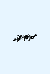 COc1cc(Nc2ncc(Cl)c(-c3ccn(C(C)C)n3)n2)ccc1C(=O)Nc1ccc(C#N)cc1